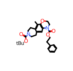 Cc1c2c(cc3c1OCCN3C(=O)OCCc1ccccc1)CCN(C(=O)OC(C)(C)C)CC2